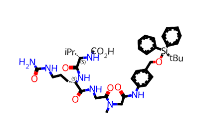 CC(C)[C@H](NC(=O)O)C(=O)N[C@@H](CCCNC(N)=O)C(=O)NCC(=O)N(C)CC(=O)Nc1ccc(CO[Si](c2ccccc2)(c2ccccc2)C(C)(C)C)cc1